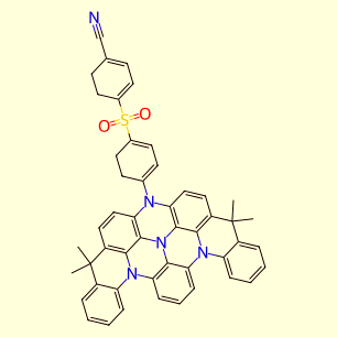 CC1(C)c2ccccc2N2c3cccc4c3N3c5c(ccc1c52)N(C1=CC=C(S(=O)(=O)C2=CC=C(C#N)CC2)CC1)c1ccc2c(c13)N4c1ccccc1C2(C)C